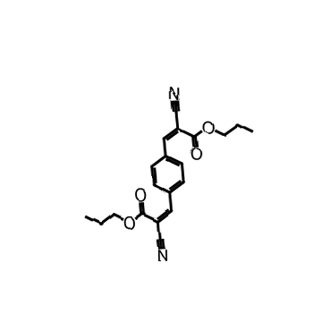 CCCOC(=O)C(C#N)=Cc1ccc(C=C(C#N)C(=O)OCCC)cc1